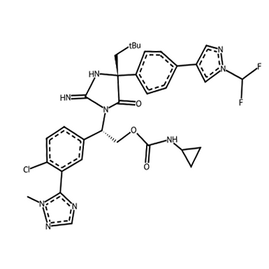 Cn1ncnc1-c1cc([C@@H](COC(=O)NC2CC2)N2C(=N)N[C@](CC(C)(C)C)(c3ccc(-c4cnn(C(F)F)c4)cc3)C2=O)ccc1Cl